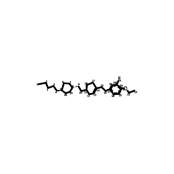 CCCCC[C@H]1CC[C@H](CCC2CC=C(CCc3ccc(OCC)c(F)c3)CC2)CC1